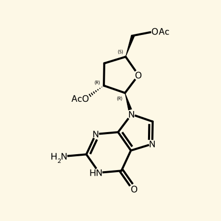 CC(=O)OC[C@@H]1C[C@@H](OC(C)=O)[C@H](n2cnc3c(=O)[nH]c(N)nc32)O1